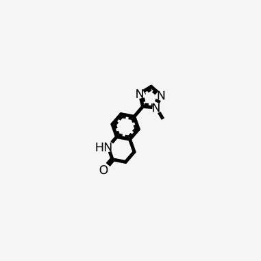 Cn1ncnc1-c1ccc2c(c1)CCC(=O)N2